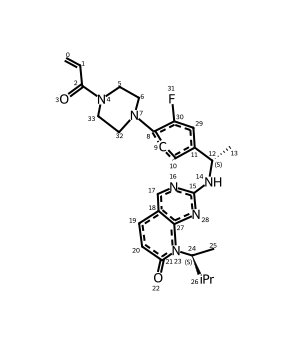 C=CC(=O)N1CCN(c2ccc([C@H](C)Nc3ncc4ccc(=O)n([C@@H](C)C(C)C)c4n3)cc2F)CC1